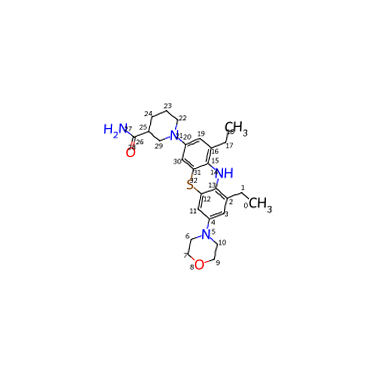 CCc1cc(N2CCOCC2)cc2c1Nc1c(CC)cc(N3CCCC(C(N)=O)C3)cc1S2